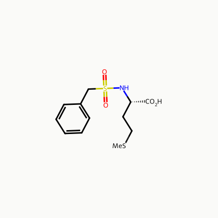 CSCC[C@H](NS(=O)(=O)Cc1ccccc1)C(=O)O